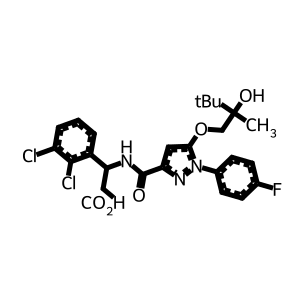 CC(C)(C)C(C)(O)COc1cc(C(=O)NC(CC(=O)O)c2cccc(Cl)c2Cl)nn1-c1ccc(F)cc1